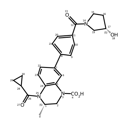 C[C@H]1CN(C(=O)O)c2cc(-c3ccc(C(=O)N4CC[C@H](O)C4)cc3)ccc2N1C(=O)C1CC1